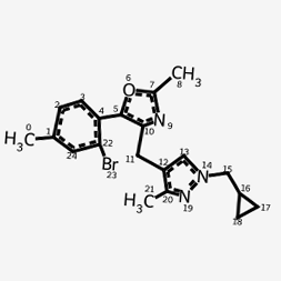 Cc1ccc(-c2oc(C)nc2Cc2cn(CC3CC3)nc2C)c(Br)c1